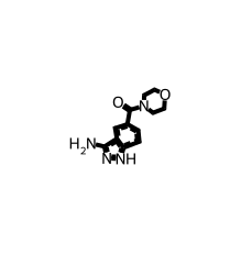 Nc1n[nH]c2ccc(C(=O)N3CCOCC3)cc12